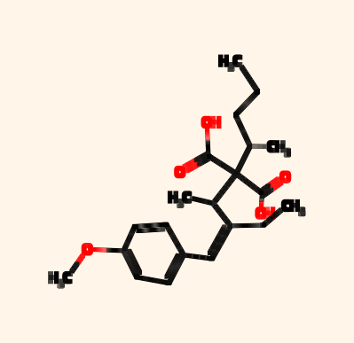 CCCC(C)C(C(=O)O)(C(=O)O)C(C)C(=Cc1ccc(OC)cc1)CC